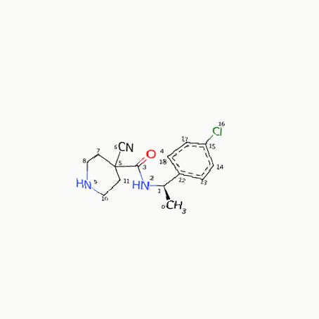 C[C@@H](NC(=O)C1(C#N)CCNCC1)c1ccc(Cl)cc1